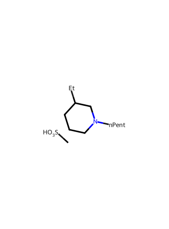 CCCCCN1CCCC(CC)C1.CS(=O)(=O)O